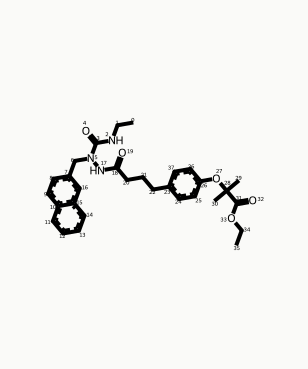 CCNC(=O)N(Cc1ccc2ccccc2c1)NC(=O)CCCc1ccc(OC(C)(C)C(=O)OCC)cc1